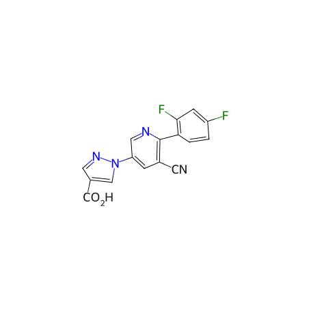 N#Cc1cc(-n2cc(C(=O)O)cn2)cnc1-c1ccc(F)cc1F